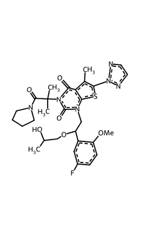 COc1ccc(F)cc1C(Cn1c(=O)n(C(C)(C)C(=O)N2CCCC2)c(=O)c2c(C)c(-n3nccn3)sc21)OCC(C)O